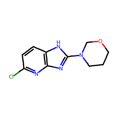 Clc1ccc2[nH]c(N3CCCOC3)nc2n1